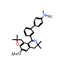 COc1cc2c(c3c1OC(C)(C)C3)C(c1cccc(-c3ccc(N(C)C(C)=O)cc3)c1)=NC(C)(C)C2